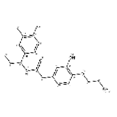 CCC(NC(=O)Cc1ccc(OCCN)c(O)c1)c1ccc(C)c(C)c1